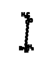 CC=CC(=O)OCCCCCCCCCCCC[SiH2]C(Br)Br